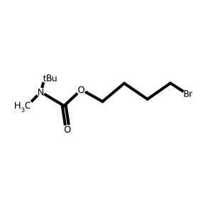 CN(C(=O)OCCCCBr)C(C)(C)C